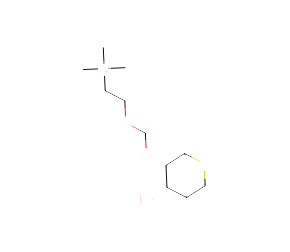 C[Si](C)(C)CCOCO[C@@H]1CSCC[C@@H]1O